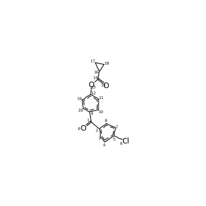 O=C(c1ccc(Cl)cc1)c1ccc(OC(=O)C2CC2)cc1